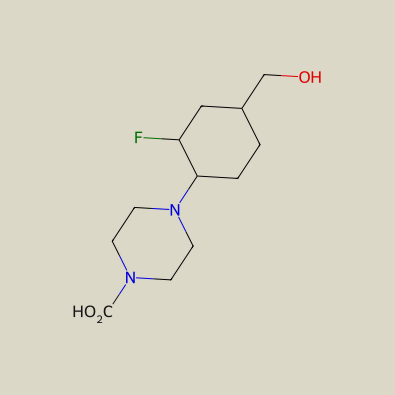 O=C(O)N1CCN(C2CCC(CO)CC2F)CC1